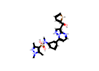 Cc1nn(C)c(C)c1S(=O)(=O)N(C)c1cccc(-c2ccnc3c(C(=O)c4cccs4)cnn23)c1